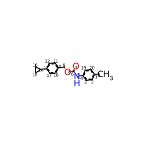 Cc1ccc(NC(=O)OCc2ccc(C3CC3)cc2)cc1